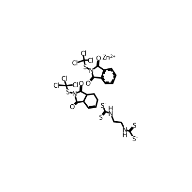 O=C1C2C=CCCC2C(=O)N1SC(Cl)(Cl)Cl.O=C1c2ccccc2C(=O)N1SC(Cl)(Cl)Cl.S=C([S-])NCCNC(=S)[S-].[Zn+2]